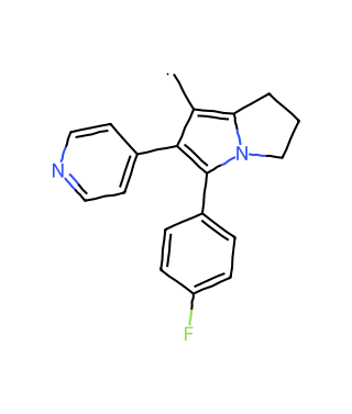 [CH2]c1c(-c2ccncc2)c(-c2ccc(F)cc2)n2c1CCC2